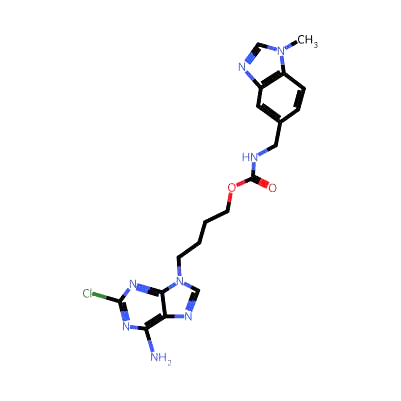 Cn1cnc2cc(CNC(=O)OCCCCn3cnc4c(N)nc(Cl)nc43)ccc21